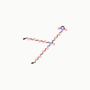 C#CCOCCOCCOCCOCCN(CCOCCOCCOCCOCC#C)C(=O)CCOCCOCCN1C(=O)C=CC1=O